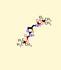 CC(C)(C)OC(=O)NCc1cnc(NC(=O)OC(C)(C)C)s1